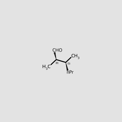 CCC[C@H](C)[C@@H](C)C=O